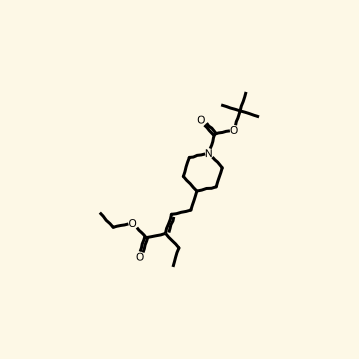 CCOC(=O)/C(=C/CC1CCN(C(=O)OC(C)(C)C)CC1)CC